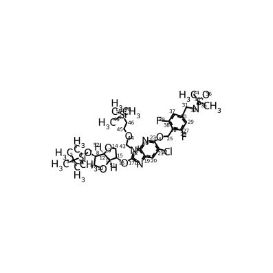 CC(C)(C)[Si](C)(C)O[C@@H]1CO[C@H]2[C@@H]1OC[C@H]2Oc1nc2cc(Cl)c(OCc3c(F)cc(CN=S(C)(C)=O)cc3F)nc2n1COCC[Si](C)(C)C